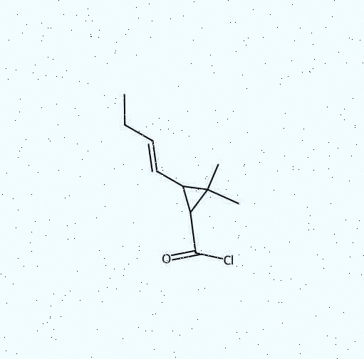 CCC=CC1C(C(=O)Cl)C1(C)C